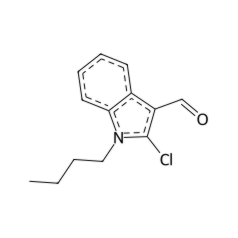 CCCCn1c(Cl)c(C=O)c2ccccc21